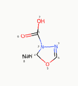 O=C(O)N1COC=N1.[NaH]